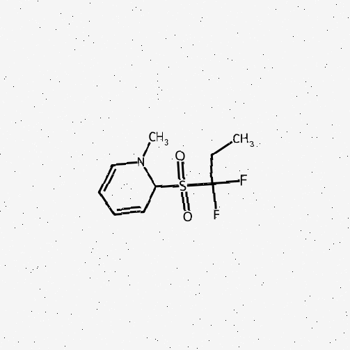 CCC(F)(F)S(=O)(=O)C1C=CC=CN1C